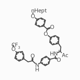 CCCCCCCOc1ccc(C(=O)Oc2ccc(C[C@H](NC(=O)c3ccc(NC(=O)Cc4ccc(OC(F)(F)F)cc4)cc3)C(C)=O)cc2)cc1